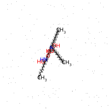 CCCCCCCCCCCC(O)CNCCOCCOCCN(CC(O)CCCCCCCCCCC)CC(O)CCCCCCCCCCC